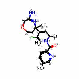 C=C(F)/C(=C\[C@@H](CC)NC(=O)c1ccc(C#N)cn1)C1(C(F)(F)F)CCOCC(N)=N1